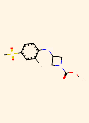 CC(C)(C)OC(=O)N1CC(Nc2ccc(S(C)(=O)=O)cc2[N+](=O)[O-])C1